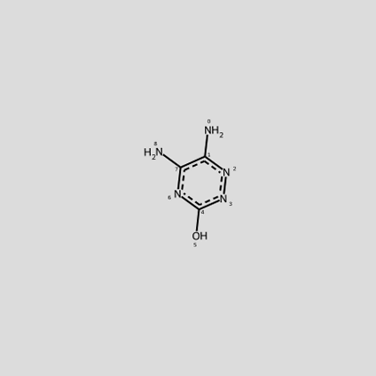 Nc1nnc(O)nc1N